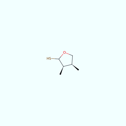 C[C@@H]1COC(S)[C@@H]1C